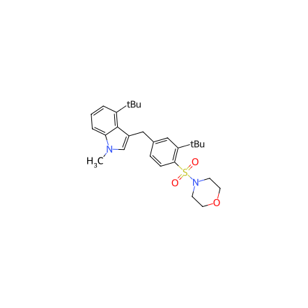 Cn1cc(Cc2ccc(S(=O)(=O)N3CCOCC3)c(C(C)(C)C)c2)c2c(C(C)(C)C)cccc21